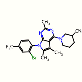 Cc1nc(N2CCCC(C#N)C2)c2c(C)c(C)n(-c3ccc(C(F)(F)F)cc3Br)c2n1